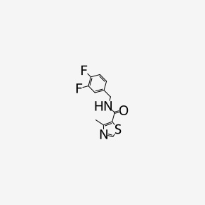 Cc1ncsc1C(=O)NCc1ccc(F)c(F)c1